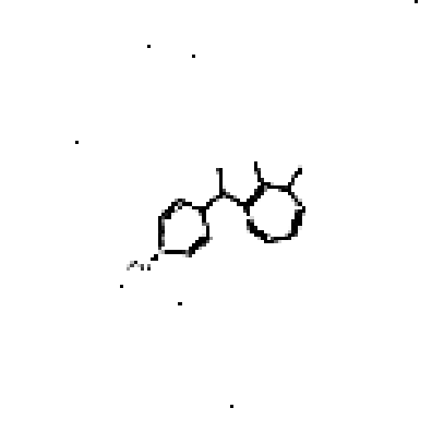 CSN1C=CC(C(C)C2=C(C)C(C)C=CC=C2)C=C1